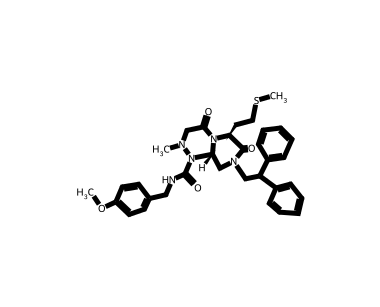 COc1ccc(CNC(=O)N2[C@H]3CN(CC(c4ccccc4)c4ccccc4)C(=O)[C@H](CCSC)N3C(=O)CN2C)cc1